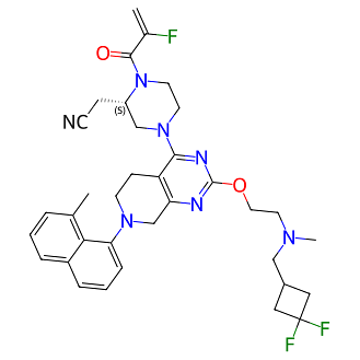 C=C(F)C(=O)N1CCN(c2nc(OCCN(C)CC3CC(F)(F)C3)nc3c2CCN(c2cccc4cccc(C)c24)C3)C[C@@H]1CC#N